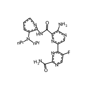 CCCN(CCC)c1cccnc1NC(=O)c1nc(-c2nc(C(N)=O)ncc2F)cnc1N